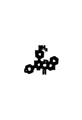 CCc1c(Nc2cnc3ccccc3c2)nc(N2CCOCC2)nc1-c1ccc(N)nc1